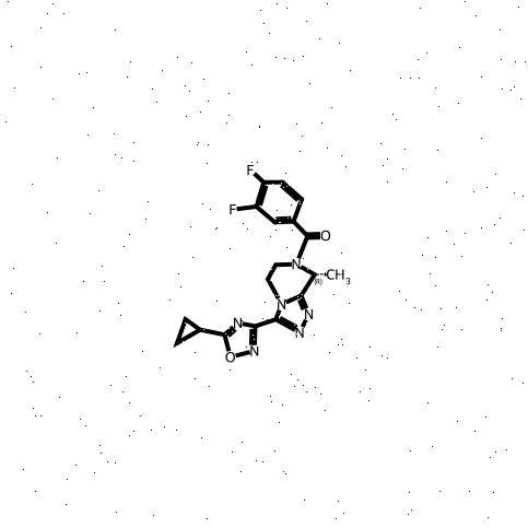 C[C@@H]1c2nnc(-c3noc(C4CC4)n3)n2CCN1C(=O)c1ccc(F)c(F)c1